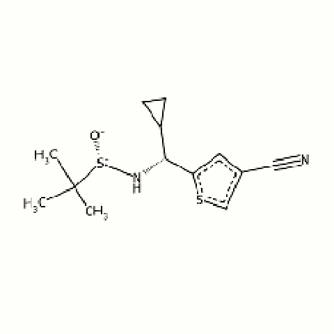 CC(C)(C)[S@+]([O-])N[C@@H](c1cc(C#N)cs1)C1CC1